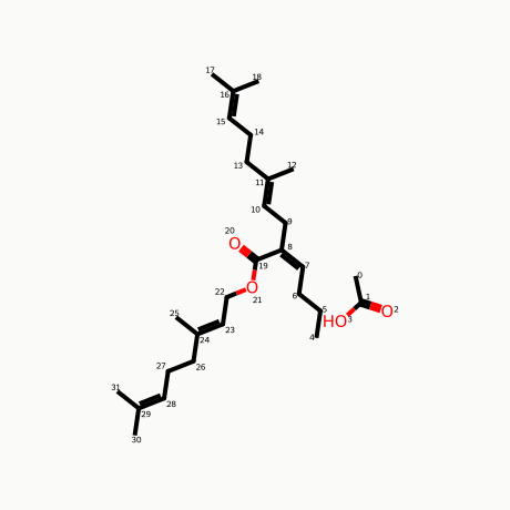 CC(=O)O.CCCC=C(C/C=C(\C)CCC=C(C)C)C(=O)OC/C=C(\C)CCC=C(C)C